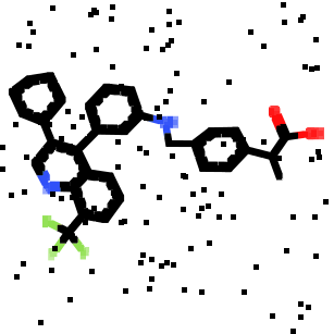 CC(C(=O)O)c1ccc(CNc2cccc(-c3c(-c4ccccc4)cnc4c(C(F)(F)F)cccc34)c2)cc1